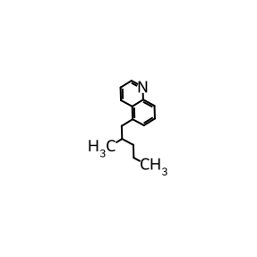 CCCC(C)Cc1cccc2ncccc12